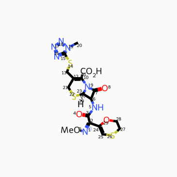 CO/N=C(\C(=O)NC1C(=O)N2C(C(=O)O)=C(CSc3nnnn3C)CS[C@H]12)C1=CSCCO1